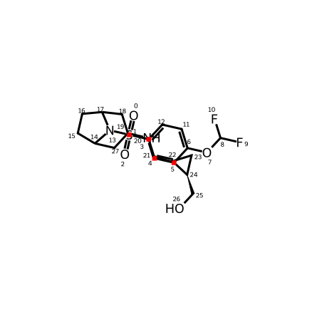 O=S(=O)(c1ccc(OC(F)F)cc1)N1C2CCC1CC(NC[C@H]1C[C@H]1CO)C2